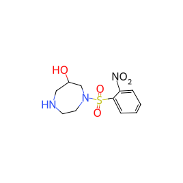 O=[N+]([O-])c1ccccc1S(=O)(=O)N1CCNCC(O)C1